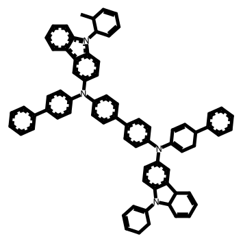 CC1C=CC=CC1n1c2ccccc2c2cc(N(c3ccc(-c4ccccc4)cc3)c3ccc(-c4ccc(N(C5=CCC(c6ccccc6)C=C5)c5ccc6c(c5)C5C=CC=CC5N6C5=CC=CCC5)cc4)cc3)ccc21